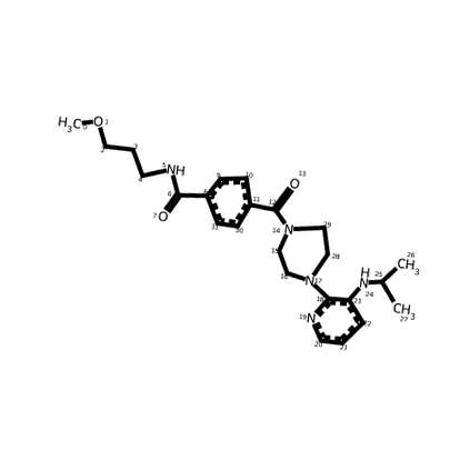 COCCCNC(=O)c1ccc(C(=O)N2CCN(c3ncccc3NC(C)C)CC2)cc1